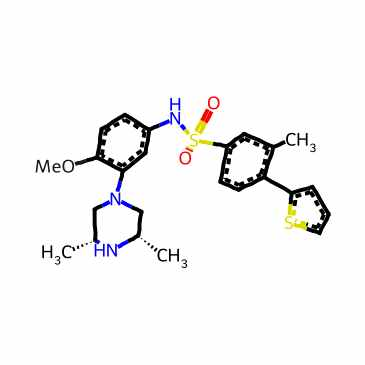 COc1ccc(NS(=O)(=O)c2ccc(-c3cccs3)c(C)c2)cc1N1C[C@@H](C)N[C@@H](C)C1